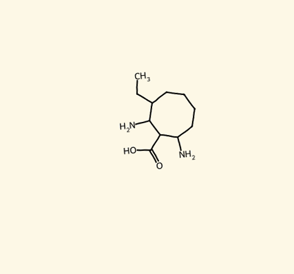 CCC1CCCCC(N)C(C(=O)O)C1N